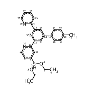 CCO[SiH](OCC)c1ccnc(-c2cc(-c3ccc(C)cc3)cc(-c3ccccn3)n2)c1